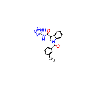 O=C(Nc1nnn[nH]1)C1CN(C(=O)c2cccc(C(F)(F)F)c2)c2ccccc21